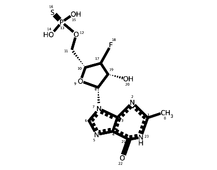 Cc1nc2c(ncn2[C@@H]2O[C@H](COP(O)(O)=S)C(F)[C@@H]2O)c(=O)[nH]1